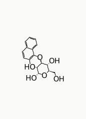 Cc1ccc2ccccc2c1O[C@@H]1[C@@H](O)[C@@H](O)O[C@H](CO)[C@H]1O